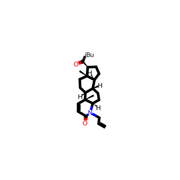 C=CCN1C(=O)C=C[C@]2(C)[C@H]3CC[C@]4(C)[C@@H](C(=O)C(C)CC)CC[C@H]4[C@@H]3CC[C@@H]12